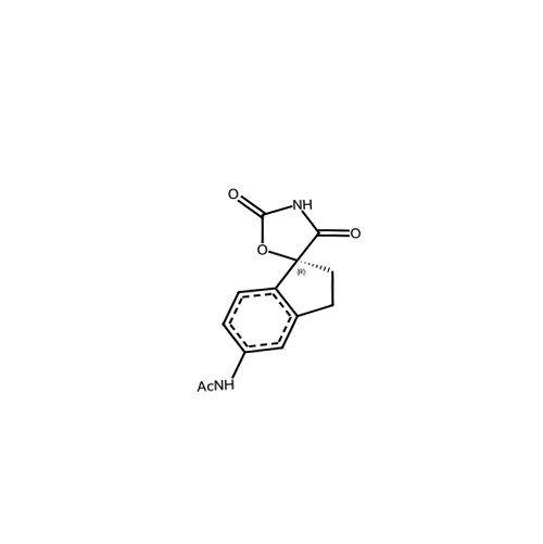 CC(=O)Nc1ccc2c(c1)CC[C@@]21OC(=O)NC1=O